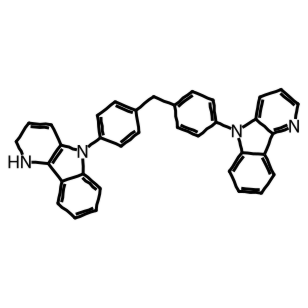 C1=Cc2c(c3ccccc3n2-c2ccc(Cc3ccc(-n4c5ccccc5c5ncccc54)cc3)cc2)NC1